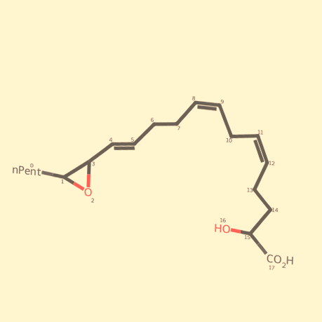 CCCCCC1OC1/C=C/CC/C=C\C/C=C\CCC(O)C(=O)O